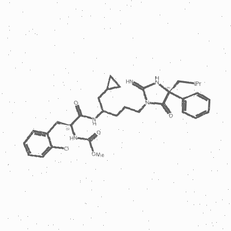 COC(=O)N[C@@H](Cc1ccccc1Cl)C(=O)NC(CCCN1C(=N)N[C@](CC(C)C)(c2ccccc2)C1=O)CC1CC1